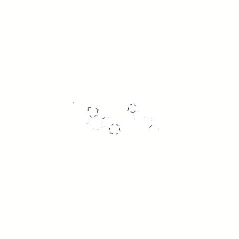 CSc1ncc2c(n1)N(C)CCN(c1cccc(CO[C@@H](CCN(C)C(=O)OC(C)(C)C)c3cccs3)c1)C2=O